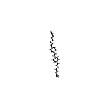 [N-]=[N+]=NCCOCCN1CCN(CCN2CCN(CCOCCN=[N+]=[N-])CC2)CC1